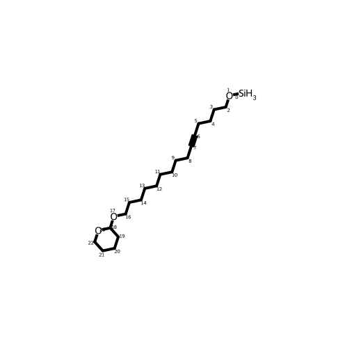 [SiH3]OCCCCC#CCCCCCCCCCOC1CCCCO1